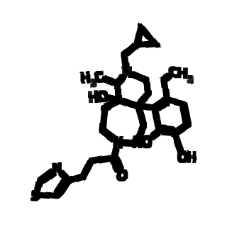 CCc1ccc(O)c(O)c1C12CCN(C(=O)CCc3cscn3)CCC1(O)C(C)N(CC1CC1)CC2